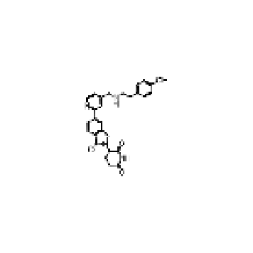 O=C1CCC(N2Cc3cc(-c4cc(CNCCc5ccc(O)cc5)ccn4)ccc3C2=O)C(=O)N1